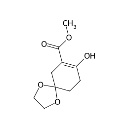 COC(=O)C1=C(O)CCC2(C1)OCCO2